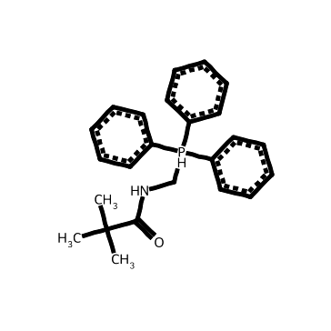 CC(C)(C)C(=O)NC[PH](c1ccccc1)(c1ccccc1)c1ccccc1